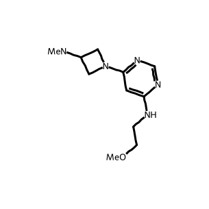 CNC1CN(c2cc(NCCOC)ncn2)C1